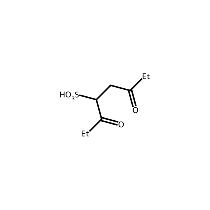 CCC(=O)CC(C(=O)CC)S(=O)(=O)O